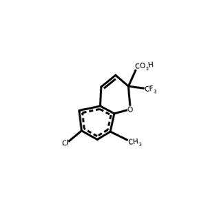 Cc1cc(Cl)cc2c1OC(C(=O)O)(C(F)(F)F)C=C2